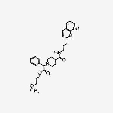 COCCCOC(=O)C(c1ccccc1)N1CCC(C(=O)NCCCc2ccc3c(n2)NCCC3)CC1